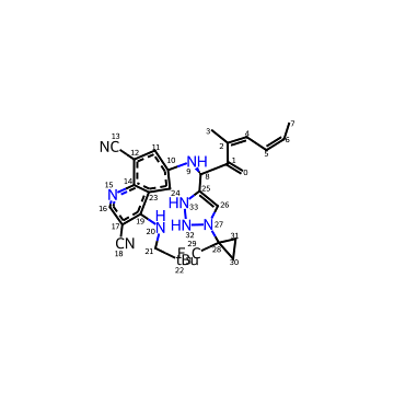 C=C(/C(C)=C\C=C/C)[C@H](Nc1cc(C#N)c2ncc(C#N)c(NCC(C)(C)C)c2c1)C1=CN(C2(C(F)(F)F)CC2)NN1